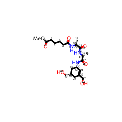 COC(=O)CCCCC(=O)N[C@@H](C)C(=O)N[C@H](C)C(=O)N[C@@H]1C=C(CO)C[C@H](CO)C1